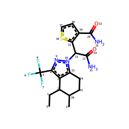 CCC1c2c(C(F)(F)F)nn(C(C(N)=O)c3sccc3C(N)=O)c2CCC1C